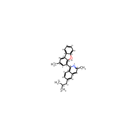 Cc1cc(-c2nc(C)cc3cc(CC(C)C)ccc23)c2oc3ccccc3c2c1